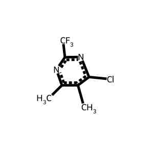 Cc1nc(C(F)(F)F)nc(Cl)c1C